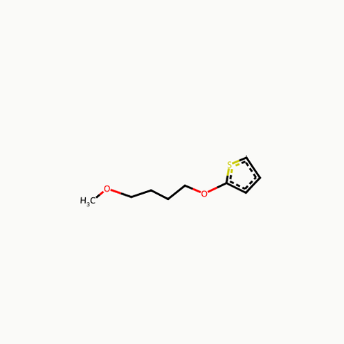 COCCCCOc1cc[c]s1